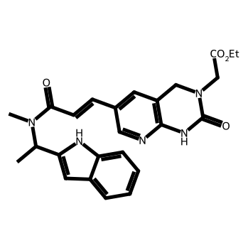 CCOC(=O)CN1Cc2cc(/C=C/C(=O)N(C)C(C)c3cc4ccccc4[nH]3)cnc2NC1=O